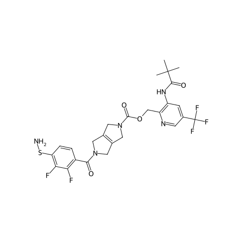 CC(C)(C)C(=O)Nc1cc(C(F)(F)F)cnc1COC(=O)N1CC2=C(C1)CN(C(=O)c1ccc(SN)c(F)c1F)C2